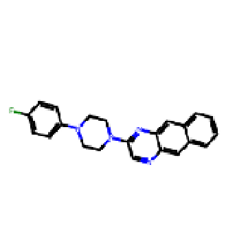 Fc1ccc(N2CCN(c3cnc4cc5ccccc5cc4n3)CC2)cc1